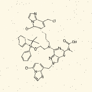 CCCCN(CCO[Si](c1ccccc1)(c1ccccc1)C(C)(C)C)c1nc(N(C)C(=O)O)nc2cn(Cc3ccc(Cl)n4ccnc34)nc12.ClCc1ccc(Cl)n2ccnc12